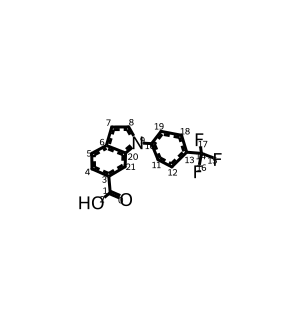 O=C(O)c1ccc2ccn(-c3ccc(C(F)(F)F)cc3)c2c1